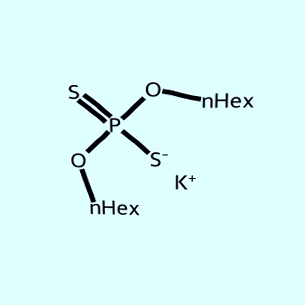 CCCCCCOP(=S)([S-])OCCCCCC.[K+]